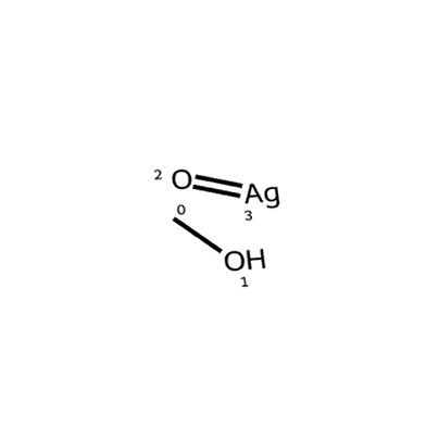 CO.[O]=[Ag]